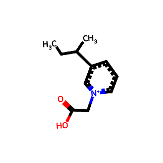 CCC(C)c1ccc[n+](CC(=O)O)c1